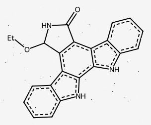 CCOC1NC(=O)c2c1c1c3ccccc3[nH]c1c1[nH]c3ccccc3c21